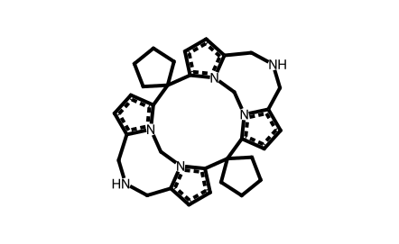 c1cc2n3c1CNCc1ccc(n1C3)C1(CCCC1)c1ccc3n1Cn1c(ccc1C21CCCC1)CNC3